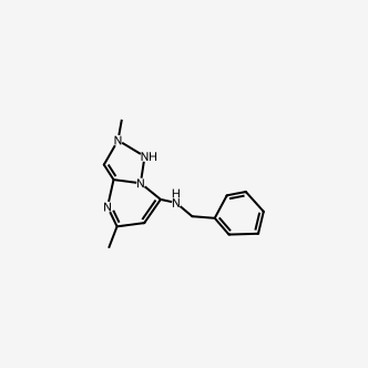 CC1=NC2=CN(C)NN2C(NCc2ccccc2)=C1